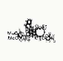 CC[C@H]1CCC[C@H](O[C@H]2CC[C@H](N(C)C)C(C)O2)[C@@H](C)C(=O)C2=C[C@H]3[C@@H]4C[C@H](O[C@@H]5O[C@H](C)[C@H](OC)C(OC)C5OC)C[C@H]4c4c(nc5c6ccccc6ccn45)[C@H]3[C@@H]2CC(=O)O1